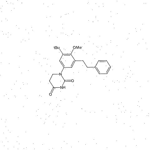 COc1c(CCc2ccccc2)cc(N2CCC(=O)NC2=O)cc1C(C)(C)C